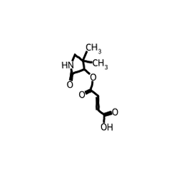 CC1(C)CNC(=O)C1OC(=O)/C=C/C(=O)O